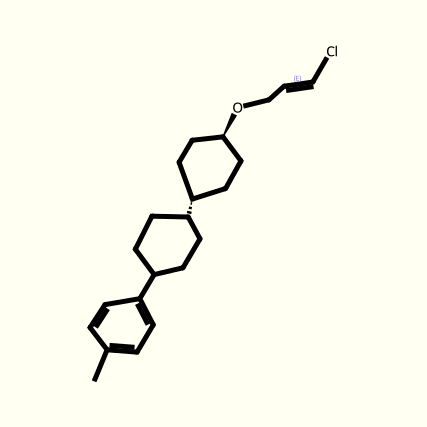 Cc1ccc(C2CCC([C@H]3CC[C@H](OC/C=C/Cl)CC3)CC2)cc1